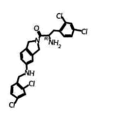 N[C@H](Cc1ccc(Cl)cc1Cl)C(=O)N1Cc2ccc(NCc3ccc(Cl)cc3Cl)cc2C1